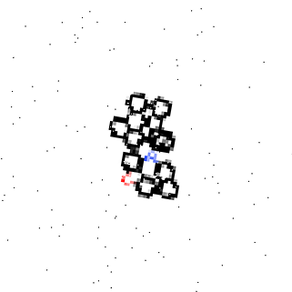 c1ccc(-c2ccc3cccc4c3c2C2(c3ccccc3-c3ccc(N(c5ccc6ccccc6c5)c5cccc6oc7ccccc7c56)cc32)c2ccccc2-4)cc1